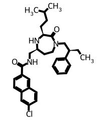 CC[C@H](CN1CC[C@@H](CNC(=O)c2ccc3cc(Cl)ccc3c2)N[C@@H](CCC(C)C)C1=O)c1ccccc1